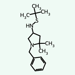 CC(C)(C)SNC1CN(Cc2ccccc2)C(C)(C)C1